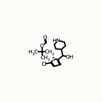 CC(C)(C)OC=O.OC(c1ccc(Cl)s1)C1CCNCC1